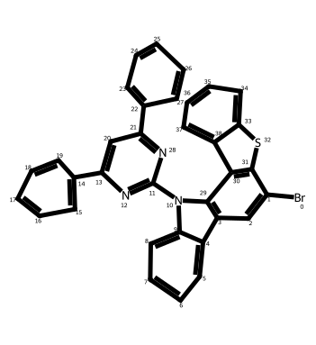 Brc1cc2c3ccccc3n(-c3nc(-c4ccccc4)cc(-c4ccccc4)n3)c2c2c1sc1ccccc12